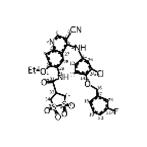 CCOc1cc2ncc(C#N)c(Nc3ccc(OCc4cccc(F)c4)c(Cl)c3)c2cc1NC(=O)C1CS(=O)(=O)S(=O)(=O)C1